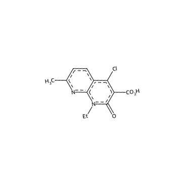 CCn1c(=O)c(C(=O)O)c(Cl)c2ccc(C)nc21